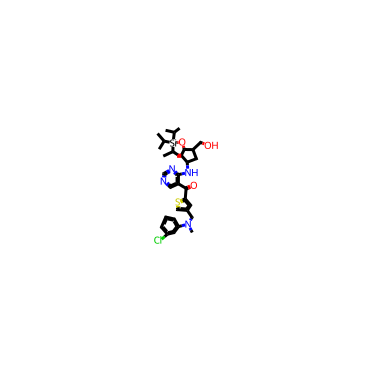 CC(C)[Si](OC1CC(Nc2ncncc2C(=O)c2cc(CN(C)c3cccc(Cl)c3)cs2)CC1CO)(C(C)C)C(C)C